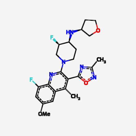 COc1cc(F)c2nc(N3CC[C@H](N[C@H]4CCOC4)[C@H](F)C3)c(-c3nc(C)no3)c(C)c2c1